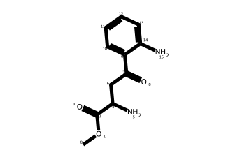 COC(=O)C(N)CC(=O)c1ccccc1N